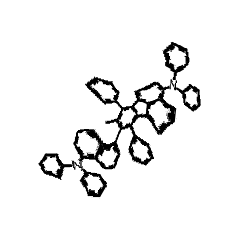 Cc1c(-c2ccccc2)c2c(c(-c3ccccc3)c1-c1cccc3c(N(c4ccccc4)c4ccccc4)cccc13)-c1cccc3c(N(c4ccccc4)c4ccccc4)ccc-2c13